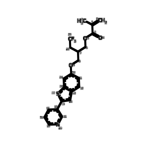 C=C(C)C(=O)OCC(COc1ccc2cc(-c3cccnc3)sc2c1)CC(F)(F)F